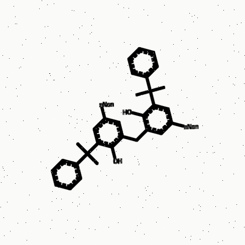 CCCCCCCCCc1cc(Cc2cc(CCCCCCCCC)cc(C(C)(C)c3ccccc3)c2O)c(O)c(C(C)(C)c2ccccc2)c1